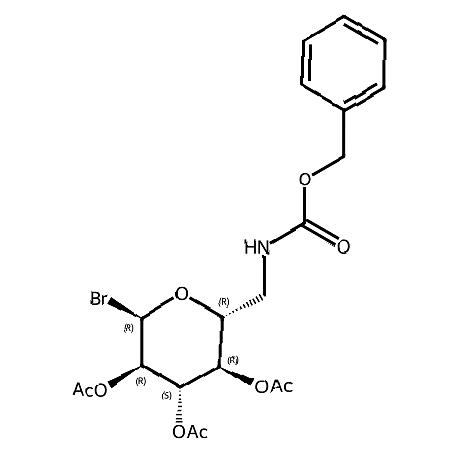 CC(=O)O[C@@H]1[C@@H](OC(C)=O)[C@@H](Br)O[C@H](CNC(=O)OCc2ccccc2)[C@H]1OC(C)=O